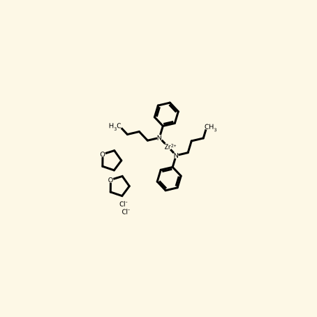 C1CCOC1.C1CCOC1.CCCC[N]([Zr+2][N](CCCC)c1ccccc1)c1ccccc1.[Cl-].[Cl-]